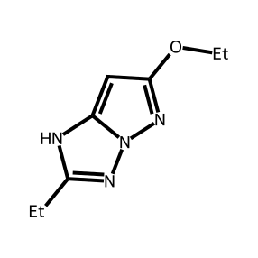 CCOc1cc2[nH]c(CC)nn2n1